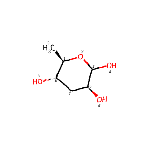 C[C@H]1OC(O)[C@@H](O)C[C@@H]1O